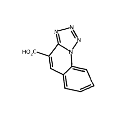 O=C(O)c1cc2ccccc2n2nnnc12